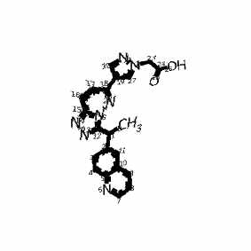 CC(c1ccc2ncccc2c1)c1nnc2ccc(-c3cnn(CC(=O)O)c3)nn12